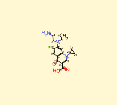 CCN(CCN)c1cc2c(cc1F)c(=O)c(C(=O)O)cn2C1CC1